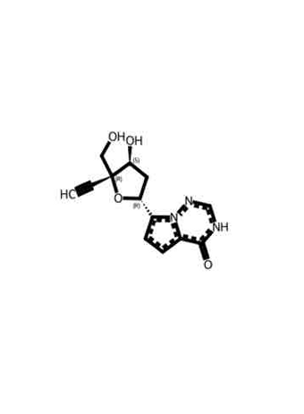 C#C[C@]1(CO)O[C@@H](c2ccc3c(=O)[nH]cnn23)C[C@@H]1O